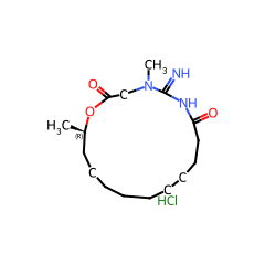 C[C@@H]1CCCCCCCCCC(=O)NC(=N)N(C)CC(=O)O1.Cl